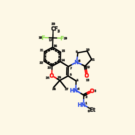 CCNC(=O)NCC1=C(N2CCCC2=O)c2cc(C(F)(F)C(F)(F)F)ccc2OC1(C)C